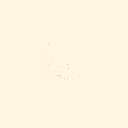 NCC(Nc1ccc(Cl)cc1)(C(N)=O)c1ncc(C(=O)c2ccc(OC(F)F)cc2)s1